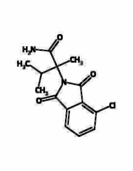 CC(C)C(C)(C(N)=O)N1C(=O)c2cccc(Cl)c2C1=O